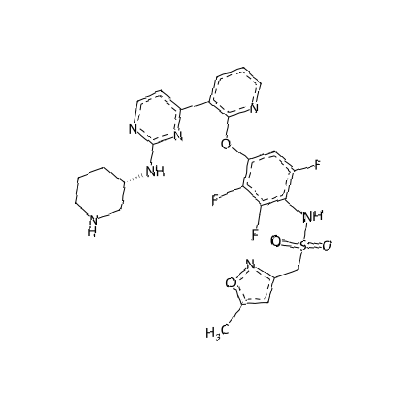 Cc1cc(CS(=O)(=O)Nc2c(F)cc(Oc3ncccc3-c3ccnc(N[C@H]4CCCNC4)n3)c(F)c2F)no1